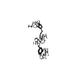 O=C(NCCc1ccc(O)c(O)c1)C(=O)NCCc1ccc(O)c(O)c1